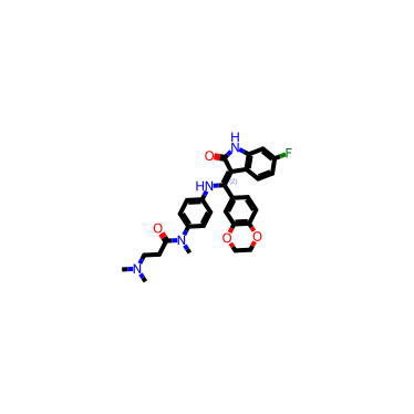 CN(C)CCC(=O)N(C)c1ccc(N/C(=C2\C(=O)Nc3cc(F)ccc32)c2ccc3c(c2)OCCO3)cc1